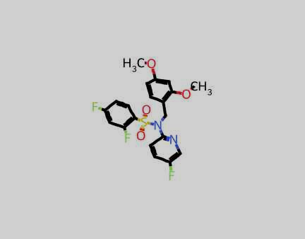 COc1ccc(CN(c2ccc(F)cn2)S(=O)(=O)c2ccc(F)cc2F)c(OC)c1